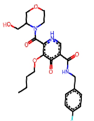 CCCCOc1c(C(=O)N2CCOCC2CO)[nH]cc(C(=O)NCc2ccc(F)cc2)c1=O